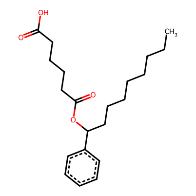 CCCCCCCCC(OC(=O)CCCCC(=O)O)c1ccccc1